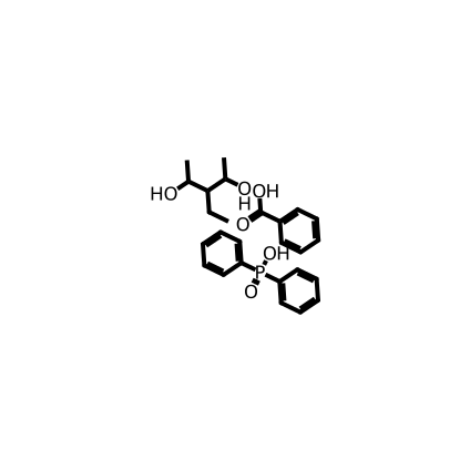 CCC(C(C)O)C(C)O.O=C(O)c1ccccc1.O=P(O)(c1ccccc1)c1ccccc1